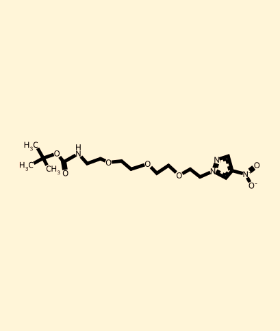 CC(C)(C)OC(=O)NCCOCCOCCOCCn1cc([N+](=O)[O-])cn1